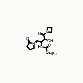 CC(C)(C)OC(=O)N[C@@H](/C=[N+]1\CCCC1=O)C(O)C(=O)N1CCC1